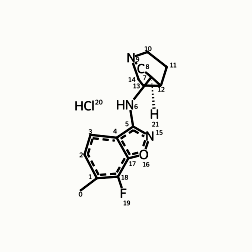 Cc1ccc2c(N[C@H]3CN4CCC3CC4)noc2c1F.Cl